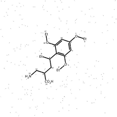 CCOc1cc(OCC)c(C(CC)CC(CN)C(=O)O)c(OCC)c1